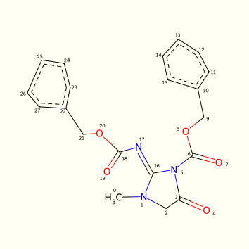 CN1CC(=O)N(C(=O)OCc2ccccc2)/C1=N/C(=O)OCc1ccccc1